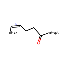 CCCCCC/C=C\CCC(=O)CCCCCCC